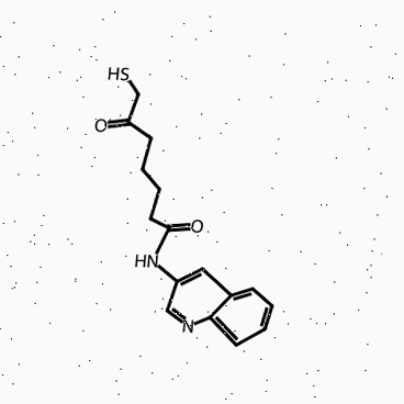 O=C(CS)CCCCC(=O)Nc1cnc2ccccc2c1